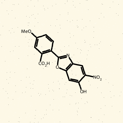 COc1ccc(-c2nc3cc([N+](=O)[O-])c(O)cc3o2)c(C(=O)O)c1